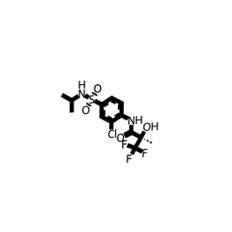 CC(C)NS(=O)(=O)c1ccc(NC(=O)[C@@](C)(O)C(F)(F)F)c(Cl)c1